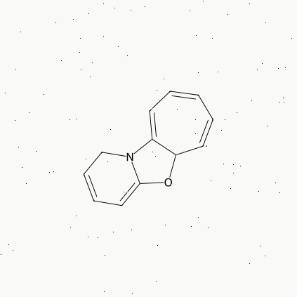 [C]1=CC=CC=C2C1OC1=CC=CCN12